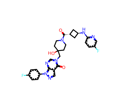 O=c1c2cnn(-c3ccc(F)cc3)c2ncn1CC1(O)CCN(C(=O)[C@H]2C[C@H](Nc3ccc(F)cn3)C2)CC1